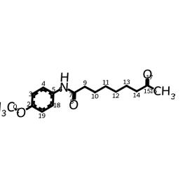 COc1ccc(NC(=O)CCCCCCC(C)=O)cc1